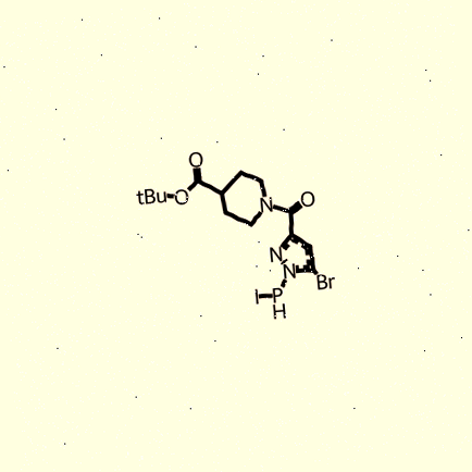 CC(C)(C)OC(=O)C1CCN(C(=O)c2cc(Br)n(PI)n2)CC1